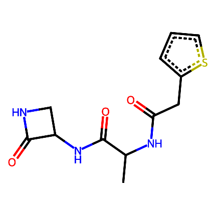 CC(NC(=O)Cc1cccs1)C(=O)NC1CNC1=O